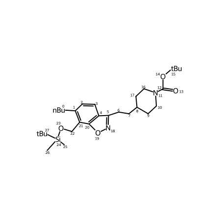 CCCCc1ccc2c(CCC3CCN(C(=O)OC(C)(C)C)CC3)noc2c1CO[Si](C)(C)C(C)(C)C